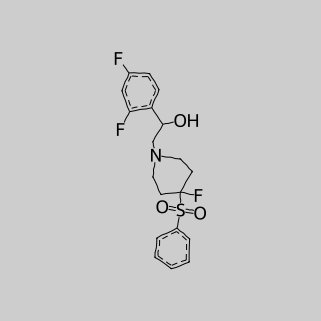 O=S(=O)(c1ccccc1)C1(F)CCN(CC(O)c2ccc(F)cc2F)CC1